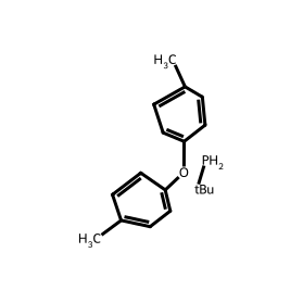 CC(C)(C)P.Cc1ccc(Oc2ccc(C)cc2)cc1